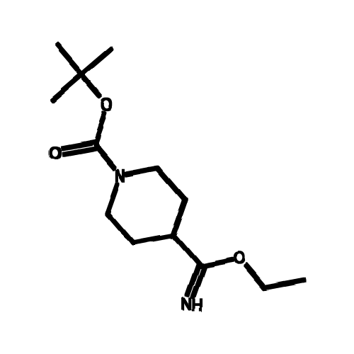 CCOC(=N)C1CCN(C(=O)OC(C)(C)C)CC1